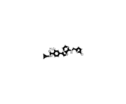 Cc1cc(-c2cnc3c(NCc4ccc(Cl)s4)nccn23)ccc1C(=O)NC1CC1